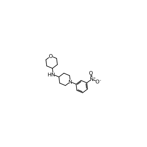 O=[N+]([O-])c1cccc(N2CCC(NC3CCOCC3)CC2)c1